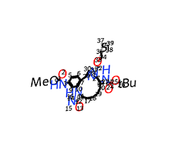 COC(=O)Nc1ccc2c(c1)N[C@@H](C(=O)N(C)C)CCCC[C@H](NC(=O)OC(C)(C)C)c1nc-2cn1COCC[Si](C)(C)C